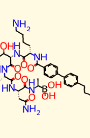 CCCCc1ccc(-c2ccc(C(=O)N[C@@H](CCCCN)C(=O)N[C@H](C(=O)N[C@@H](C)C(=O)N[C@@H](CC(N)=O)C(=O)N[C@@H](C)B(O)O)C(C)O)cc2)cc1